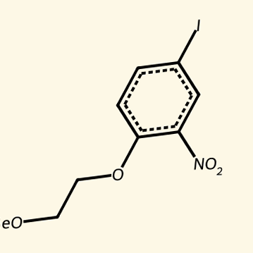 COCCOc1ccc(I)cc1[N+](=O)[O-]